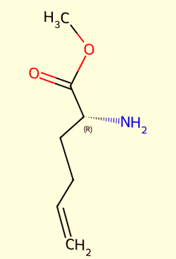 C=CCC[C@@H](N)C(=O)OC